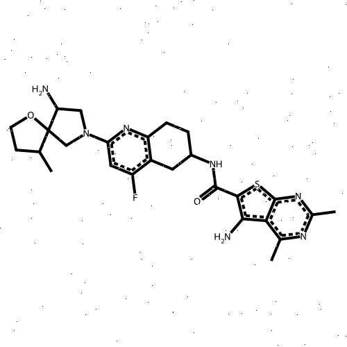 Cc1nc(C)c2c(N)c(C(=O)NC3CCc4nc(N5CC(N)C6(C5)OCCC6C)cc(F)c4C3)sc2n1